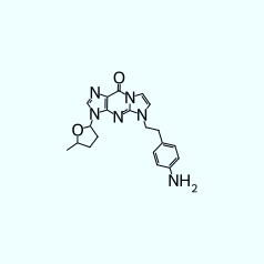 CC1CCC(n2cnc3c(=O)n4ccn(CCc5ccc(N)cc5)c4nc32)O1